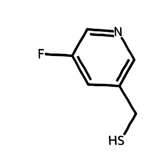 Fc1cncc(CS)c1